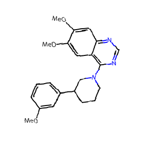 COc1cccc(C2CCCN(c3ncnc4cc(OC)c(OC)cc34)C2)c1